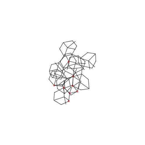 CC1CCC2CC1(C1(C)CCC3CC1(C1(C)CCC4CC1(C1(C)CCC5CC1(C1(C)CCC6CC1(C1(C)CCC7CC1(C1(C)CCC8CC1(C1(C)CCC9CC1(C1(C)CCC%10CC1(C1%11CC(CCC1C)C%11(C)C)C%10(C)C)C9(C)C)C8(C)C)C7(C)C)C6(C)C)C5(C)C)C4(C)C)C3(C)C)C2(C)C